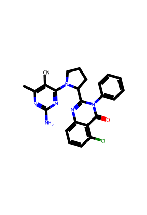 Cc1nc(N)nc(N2CCCC2c2nc3cccc(Cl)c3c(=O)n2-c2ccccc2)c1C#N